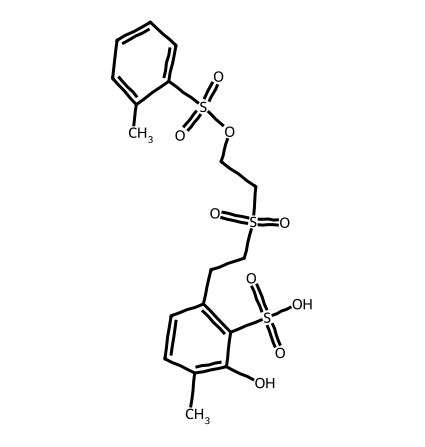 Cc1ccccc1S(=O)(=O)OCCS(=O)(=O)CCc1ccc(C)c(O)c1S(=O)(=O)O